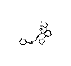 C=CN(Br)c1cccc(N2CCCC2)c1C(C)C#CCCNc1ccccc1